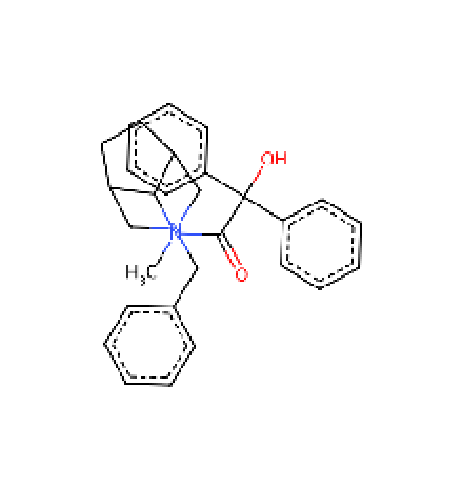 CN(C(=O)C(O)(c1ccccc1)c1ccccc1)C1C2CCC1CN(Cc1ccccc1)C2